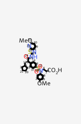 COc1ccc(N(CCC(=O)O)S(=O)(=O)c2ccc([C@H](CC3CCCC3)C(=O)Nc3nc4ccc(OC)nc4s3)cc2)cc1